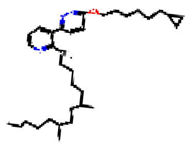 CCCCCC(C)CCC(C)CCCC[SiH2]c1ncccc1-c1ccc(OCCCCCCC2CC2)nn1